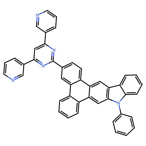 c1ccc(-n2c3ccccc3c3cc4c5ccc(-c6nc(-c7cccnc7)cc(-c7cccnc7)n6)cc5c5ccccc5c4cc32)cc1